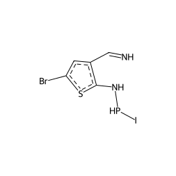 N=Cc1cc(Br)sc1NPI